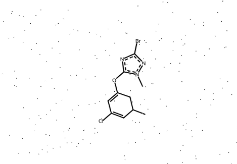 CC1C=C(Cl)C=C(Oc2nc(Br)nn2C)C1